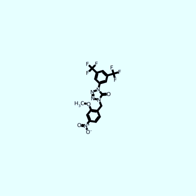 COc1cc([N+](=O)[O-])ccc1Cn1nnn(-c2cc(C(F)(F)F)cc(C(F)(F)F)c2)c1=O